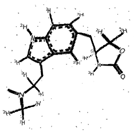 [2H]c1c(C[C@]2([2H])N([2H])C(=O)OC2([2H])[2H])c([2H])c2c(CC([2H])([2H])N(C)C([2H])([2H])[2H])c([2H])n([2H])c2c1[2H]